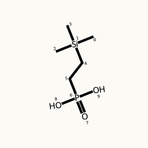 C[Si](C)(C)CCP(=O)(O)O